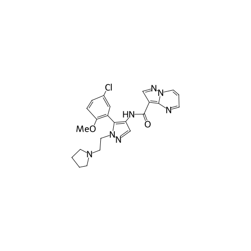 COc1ccc(Cl)cc1-c1c(NC(=O)c2cnn3cccnc23)cnn1CCN1CCCC1